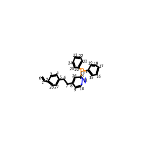 C=Cc1ccc(CCc2ccnc(P(c3ccccc3)c3ccccc3)c2)cc1